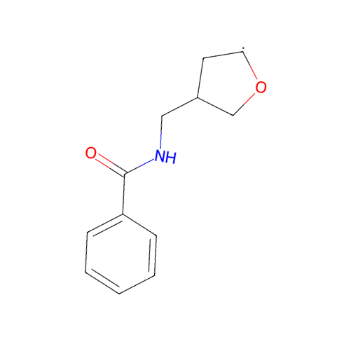 O=C(NCC1C[CH]OC1)c1ccccc1